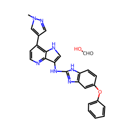 Cn1cc(-c2ccnc3c(Nc4nc5cc(Oc6ccccc6)ccc5[nH]4)c[nH]c23)cn1.O=CO